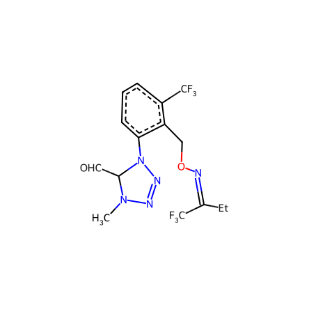 CCC(=NOCc1c(N2N=NN(C)C2C=O)cccc1C(F)(F)F)C(F)(F)F